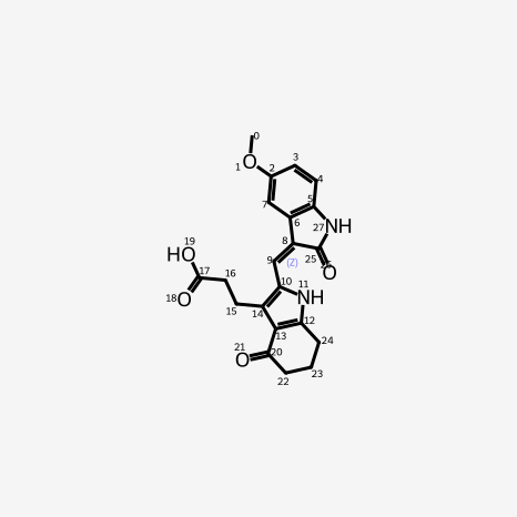 COc1ccc2c(c1)/C(=C/c1[nH]c3c(c1CCC(=O)O)C(=O)CCC3)C(=O)N2